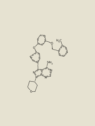 Cc1ccccc1COc1cccc(Oc2ccc(-c3nn(C4CCOCC4)c4ncnc(N)c34)cc2)c1